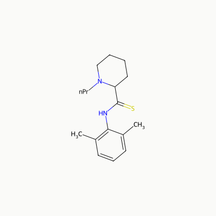 CCCN1CCCCC1C(=S)Nc1c(C)cccc1C